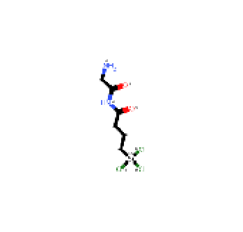 NCC(=O)NC(=O)CCC[Si](Cl)(Cl)Cl